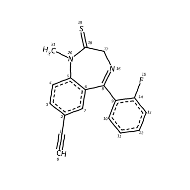 C#Cc1ccc2c(c1)C(c1ccccc1F)=NCC(=S)N2C